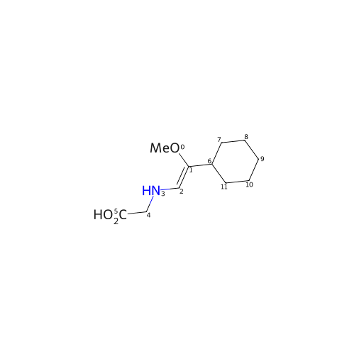 COC(=CNCC(=O)O)C1CCCCC1